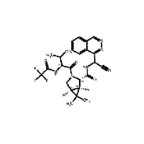 CC(C)[C@H](NC(=O)C(F)(F)F)C(=O)N1C[C@H]2[C@@H]([C@H]1C(=O)NC(C#N)c1nncc3ccccc13)C2(C)C